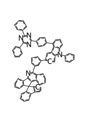 c1ccc(-c2nc(-c3ccccc3)nc(-c3ccc(-c4cccc5c4c4cc(-c6cccc(-c7nc8c(c9ccccc79)C7(c9ccccc9-c9ccccc97)c7ccccc7-8)c6)ccc4n5-c4ccccc4)cc3)n2)cc1